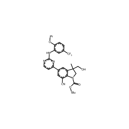 CC(C)Oc1ccc(C(F)(F)F)cc1Nc1nccc(-c2cc(C#N)c3c(c2)C(C)(CO)CN3C(=O)OC(C)(C)C)n1